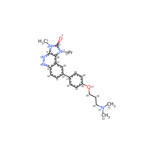 CC(C)n1c(=O)n(C)c2nnc3ccc(-c4ccc(OCCCN(C)C)cc4)cc3c21